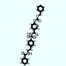 O=C(OCc1ccccc1)Oc1ccc(C(=O)NS(=O)(=O)c2ccc(CCNC(=O)c3ccccc3)cc2)cn1